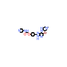 CN1CCC(Nc2c(Br)cnc3[nH]c(-c4ccc(OCC(=O)Nc5ccncc5)cc4)nc23)CC1